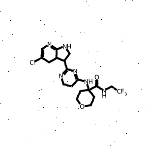 O=C(NCC(F)(F)F)C1(NC2=NC(C3CNC4=NC=C(Cl)CC43)=NCC2)CCOCC1